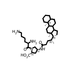 C[C@H](CCC(=O)N[C@H]1C[C@@H](C(=O)O)N(C(=O)C(N)CCCCN)C1)[C@H]1CCC2C3CCC4CCCC[C@]4(C)C3CC[C@@]21C